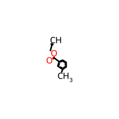 C#CCOC(=O)c1cccc(C)c1